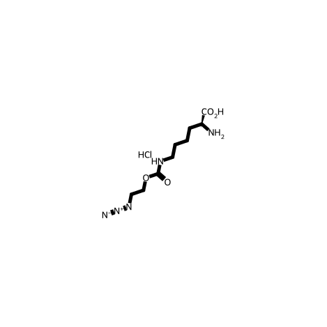 Cl.[N-]=[N+]=NCCOC(=O)NCCCC[C@H](N)C(=O)O